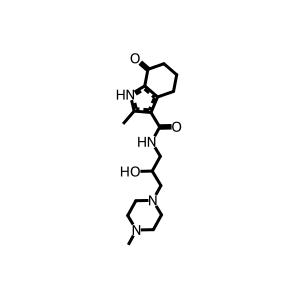 Cc1[nH]c2c(c1C(=O)NCC(O)CN1CCN(C)CC1)CCCC2=O